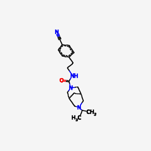 CC(C)N1CC2CC(CN(C(=O)NCCc3ccc(C#N)cc3)C2)C1